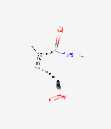 CC(=CCO)C(N)=O